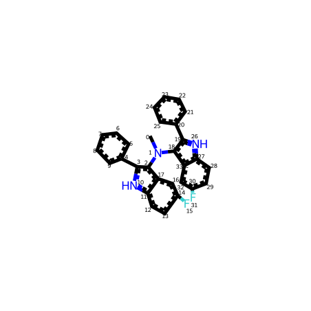 CN(c1c(-c2ccccc2)[nH]c2ccc(F)cc12)c1c(-c2ccccc2)[nH]c2ccc(F)cc12